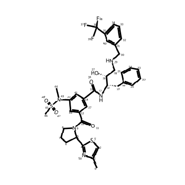 Cc1csc(C2CCCN2C(=O)c2cc(C(=O)N[C@@H](Cc3ccccc3)[C@H](O)CNCc3cccc(C(F)(F)F)c3)cc(N(C)S(C)(=O)=O)c2)n1